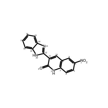 O=c1[nH]c2ccc([N+](=O)[O-])cc2cc1-c1nc2ccccc2[nH]1